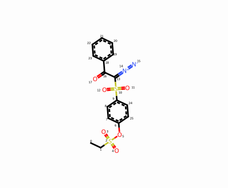 CCS(=O)(=O)Oc1ccc(S(=O)(=O)C(=[N+]=[N-])C(=O)c2ccccc2)cc1